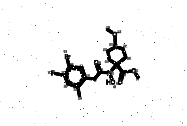 COC(=O)C1(N(O)C(=O)Cc2cc(Br)c(F)cc2C)CCN(OC)CC1